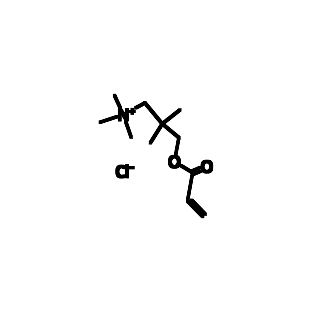 C=CC(=O)OCC(C)(C)C[N+](C)(C)C.[Cl-]